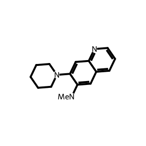 CNc1cc2cccnc2cc1N1CCCCC1